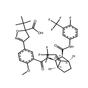 COc1ccc(C2=NOC(C(=O)O)(C(C)(C)C)C2)cc1C(=O)N[C@H]1[C@@H](C(=O)Nc2ccc(F)c(C(F)(F)F)c2)[C@H]2CC[C@@H]1/C2=C\C(F)(F)F